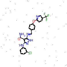 NC(=O)c1c(Nc2cccc(Cl)c2)n[nH]c1/N=C/c1ccc(Oc2ccc(C(F)(F)F)cn2)cc1